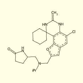 C=C1Nc2c(Cl)cc3cc(CN(CC4CCC(=O)N4)C(C)C)oc3c2C2(CCCCC2)N1